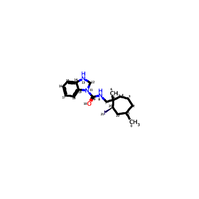 CC1CCCC(C)(CNC(=O)N2CNc3ccccc32)[C@H](I)C1